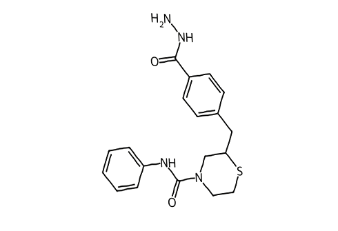 NNC(=O)c1ccc(CC2CN(C(=O)Nc3ccccc3)CCS2)cc1